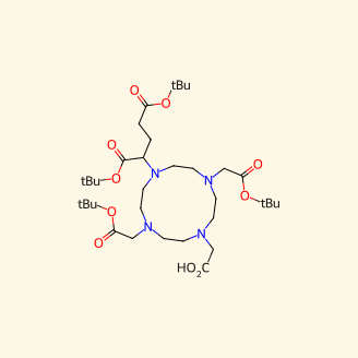 CC(C)(C)OC(=O)CCC(C(=O)OC(C)(C)C)N1CCN(CC(=O)OC(C)(C)C)CCN(CC(=O)O)CCN(CC(=O)OC(C)(C)C)CC1